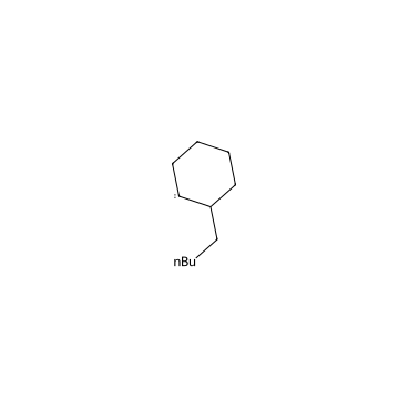 CCCCCC1[C]CCCC1